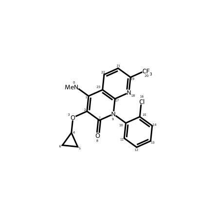 CNc1c(OC2CC2)c(=O)n(-c2ccccc2Cl)c2nc(C(F)(F)F)ccc12